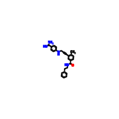 Cc1ccc(C(=O)NCCc2ccccc2)cc1C#CCNc1ccc(C(=N)N)cc1